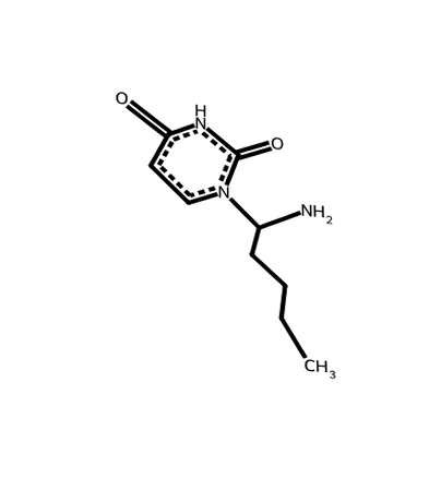 CCCCC(N)n1ccc(=O)[nH]c1=O